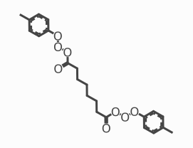 Cc1ccc(OOOC(=O)CCCCCCC(=O)OOOc2ccc(C)cc2)cc1